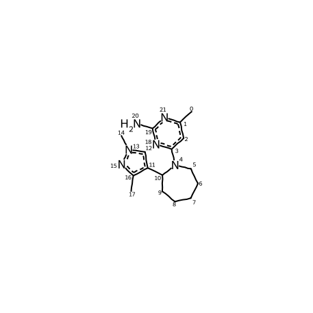 Cc1cc(N2CCCCCC2c2cn(C)nc2C)nc(N)n1